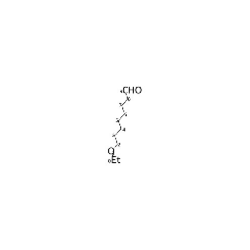 CCOCCCCCCCC=O